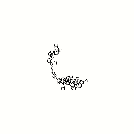 Cn1cc(-c2cccc(-n3ccc4cc(C5CC5)cc(F)c4c3=O)c2CO)cc(Nc2ccc(N3CCN(CCCCCNc4cccc5c4CN(C4CCC(=O)NC4=O)C5=O)CC3)cn2)c1=O